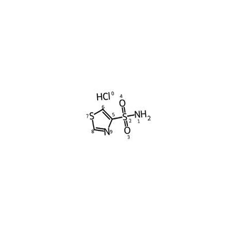 Cl.NS(=O)(=O)c1cscn1